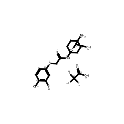 NC12CCC(NC(=O)COc3ccc(Cl)c(F)c3)(CC1)CC2O.O=C(O)C(F)(F)F